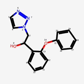 OC(Cn1ccnn1)c1ccccc1Oc1ccccc1